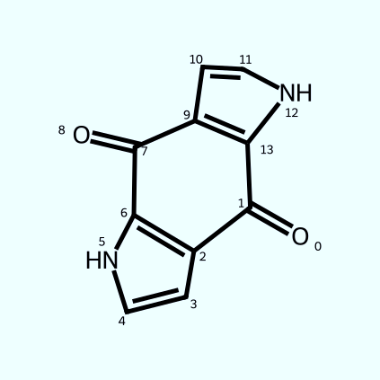 O=C1c2cc[nH]c2C(=O)c2cc[nH]c21